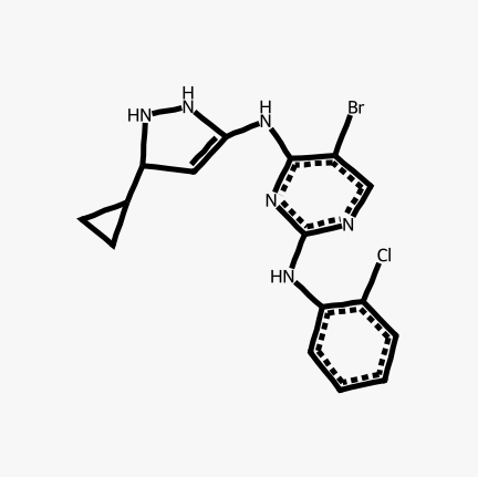 Clc1ccccc1Nc1ncc(Br)c(NC2=CC(C3CC3)NN2)n1